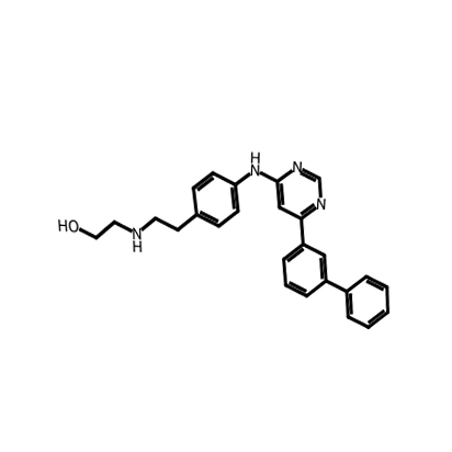 OCCNCCc1ccc(Nc2cc(-c3cccc(-c4ccccc4)c3)ncn2)cc1